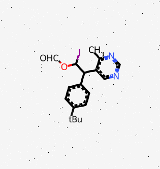 Cc1ncncc1C(c1ccc(C(C)(C)C)cc1)C(I)OC=O